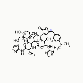 C=C1C(NC(C)C(=O)NC2=NCC=N2)CC2[C@](C)(CC[C@@H](O)[C@@]2(C)CO)C1CC(NC(C)C(=O)NC1=NCC=N1)C1=C/C(=C\c2ccc(N(C)C)cc2)OC1=O